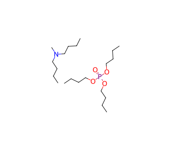 CCCCN(C)CCCC.CCCCOP(=O)(OCCCC)OCCCC